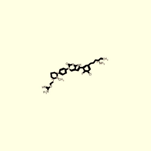 C=C[C@H](N)CCCc1cc(Cl)c(F)c(-c2cc3cn(-c4ccc([C@@H]5CCC[C@@H](CCOC(=N)N)N5C)cc4)c(=O)nc3[nH]2)c1